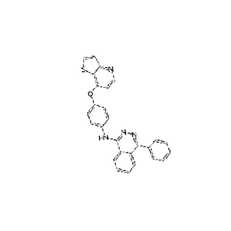 c1ccc(-c2nnc(Nc3ccc(Oc4ccnc5ccsc45)cc3)c3ccccc23)cc1